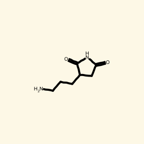 NCCCC1CC(=O)NC1=O